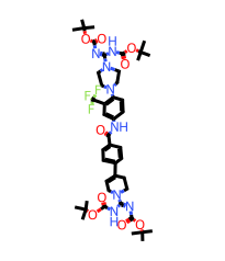 CC(C)(C)OC(=O)N=C(NC(=O)OC(C)(C)C)N1CC=C(c2ccc(C(=O)Nc3ccc(N4CCN(C(=NC(=O)OC(C)(C)C)NC(=O)OC(C)(C)C)CC4)c(C(F)(F)F)c3)cc2)CC1